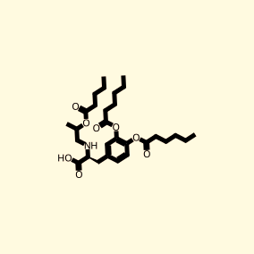 CCCCCC(=O)Oc1ccc(C[C@H](NCC(C)OC(=O)CCCC)C(=O)O)cc1OC(=O)CCCCC